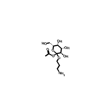 CC(=O)O[C@@]1(OCCCN)O[C@H](CO)[C@H](O)[C@H](O)[C@H]1O